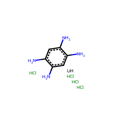 Cl.Cl.Cl.Cl.Nc1cc(N)c(N)cc1N.[LiH]